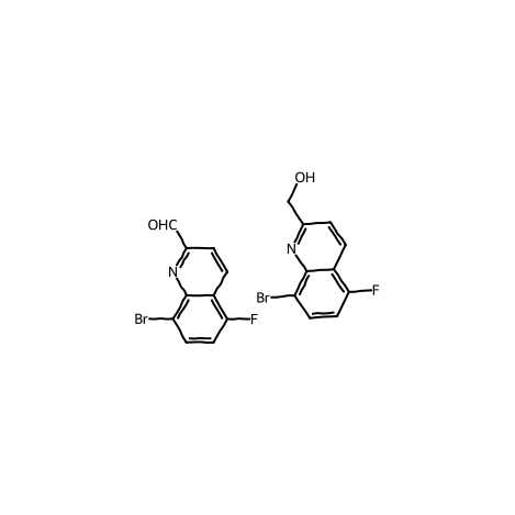 O=Cc1ccc2c(F)ccc(Br)c2n1.OCc1ccc2c(F)ccc(Br)c2n1